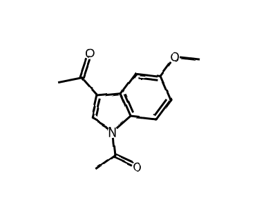 COc1ccc2c(c1)c(C(C)=O)cn2C(C)=O